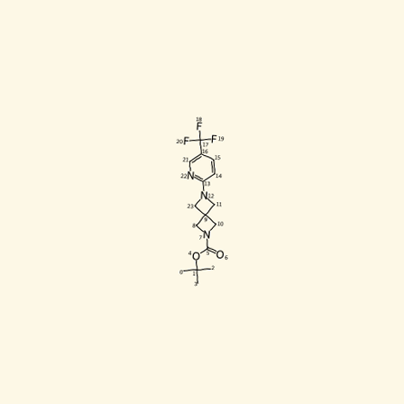 CC(C)(C)OC(=O)N1CC2(C1)CN(c1ccc(C(F)(F)F)cn1)C2